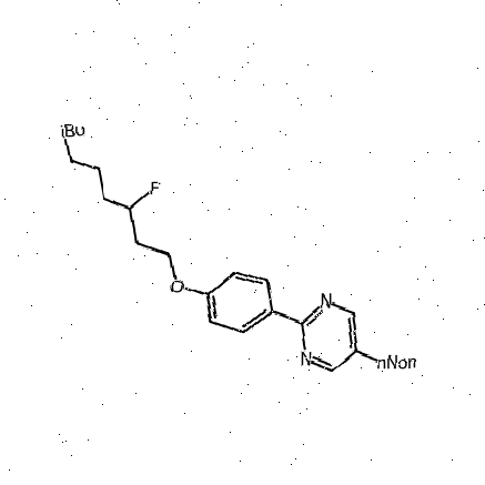 CCCCCCCCCc1cnc(-c2ccc(OCCC(F)CCCC(C)CC)cc2)nc1